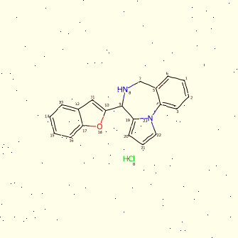 Cl.c1ccc2c(c1)CNC(c1cc3ccccc3o1)c1cccn1-2